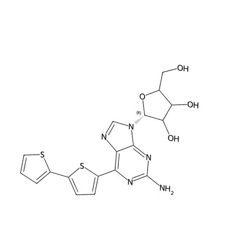 Nc1nc(-c2ccc(-c3cccs3)s2)c2ncn([C@@H]3OC(CO)C(O)C3O)c2n1